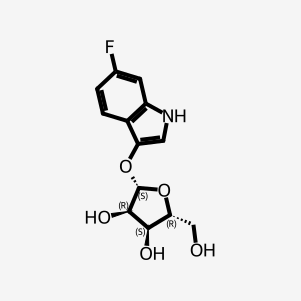 OC[C@H]1O[C@@H](Oc2c[nH]c3cc(F)ccc23)[C@H](O)[C@@H]1O